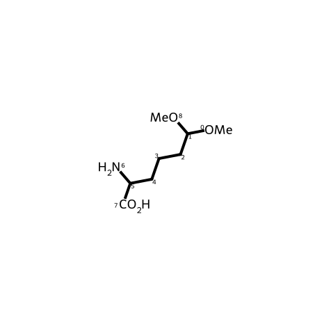 COC(CCCC(N)C(=O)O)OC